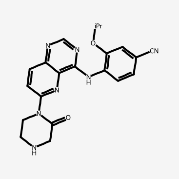 CC(C)Oc1cc(C#N)ccc1Nc1ncnc2ccc(N3CCNCC3=O)nc12